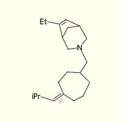 CCC1=CC2CC1CN(CC1CCC/C(=C/C(C)C)CC1)C2